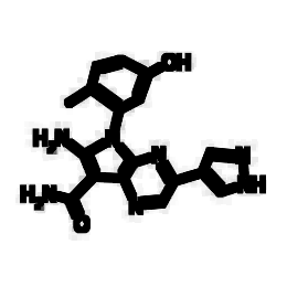 Cc1ccc(O)cc1-n1c(N)c(C(N)=O)c2ncc(-c3cn[nH]c3)nc21